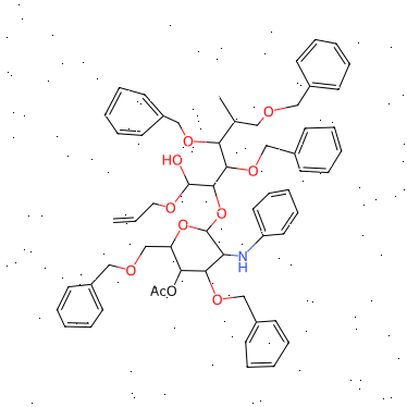 C=CCOC(O)C(OC1OC(COCc2ccccc2)C(OC(C)=O)C(OCc2ccccc2)C1Nc1ccccc1)C(OCc1ccccc1)C(OCc1ccccc1)C(C)COCc1ccccc1